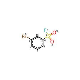 O=S(=O)(F)c1cccc(Br)c1